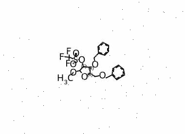 COC1O[C@H](COCc2ccccc2)[C@@H](OCc2ccccc2)[C@@H]1OS(=O)(=O)C(F)(F)F